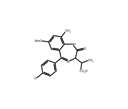 COc1cc(C)c2c(c1)C(c1ccc(Cl)cc1)=NC(C(C)C(=O)O)C(=O)N2